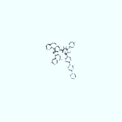 c1ccc(-c2ccc(-c3ccc(-c4nc(-c5ccccc5)nc(-c5cc6ccc7ccccc7c6c6sc7c8ccccc8ccc7c56)n4)cc3)cc2)cc1